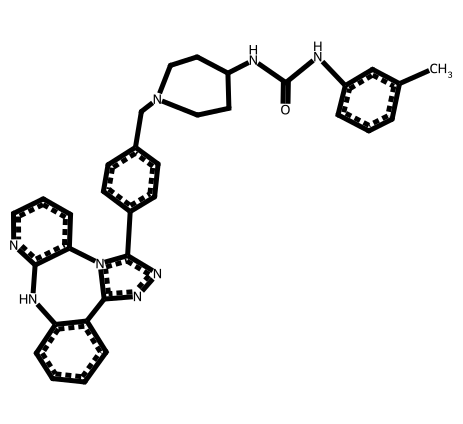 Cc1cccc(NC(=O)NC2CCN(Cc3ccc(-c4nnc5n4-c4cccnc4Nc4ccccc4-5)cc3)CC2)c1